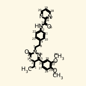 CCC1SC(=O)N(CCc2ccc(NC(=O)c3ncccn3)cc2)N=C1c1ccc(OC)c(OC)c1